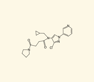 O=C(CCC(=O)N(CC1CC1)c1cn(-c2cccnc2)nc1Cl)N1CCCC1